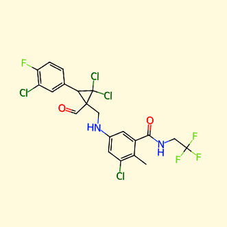 Cc1c(Cl)cc(NCC2(C=O)C(c3ccc(F)c(Cl)c3)C2(Cl)Cl)cc1C(=O)NCC(F)(F)F